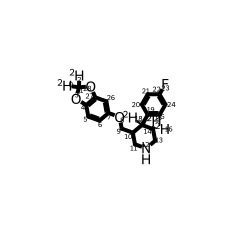 [2H]C1([2H])Oc2ccc(OCC3CNCC([2H])([2H])[C@@]3([2H])c3ccc(F)cc3)cc2O1